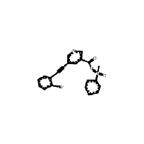 CS(=O)(=NC(=O)c1cncc(C#Cc2ccccc2Br)c1)c1ccccc1